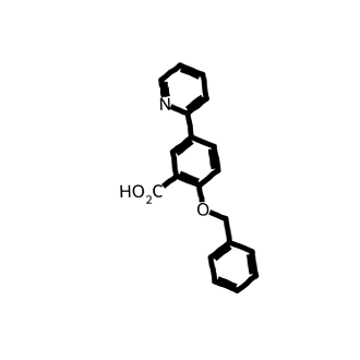 O=C(O)c1cc(-c2ccccn2)ccc1OCc1ccccc1